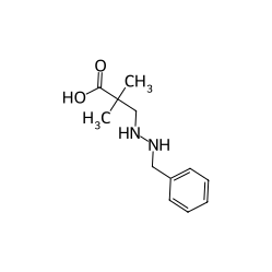 CC(C)(CNNCc1ccccc1)C(=O)O